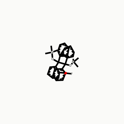 C[Si](C)(C)OC(c1ccccc1)(c1ccccc1F)C(O[Si](C)(C)C)(c1ccccc1)c1ccccc1F